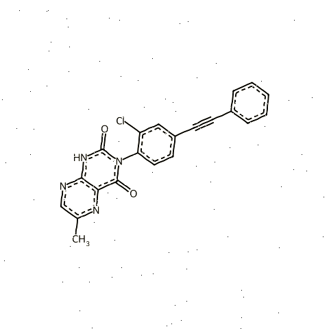 Cc1cnc2[nH]c(=O)n(-c3ccc(C#Cc4ccccc4)cc3Cl)c(=O)c2n1